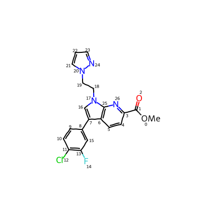 COC(=O)c1ccc2c(-c3ccc(Cl)c(F)c3)cn(CCn3cccn3)c2n1